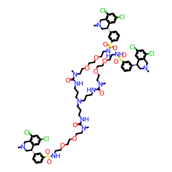 CN1Cc2c(Cl)cc(Cl)cc2[C@H](c2cccc(S(=O)(=O)NCCOCCOCCN(C)C(=O)NCCCN(CCCNC(=O)N(C)CCOCCOCCNS(=O)(=O)c3cccc([C@@H]4CN(C)Cc5c(Cl)cc(Cl)cc54)c3)CCCNC(=O)N(C)CCOCCOCCNS(=O)(=O)c3cccc([C@@H]4CN(C)Cc5c(Cl)cc(Cl)cc54)c3)c2)C1